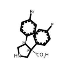 O=C(O)[C@]1(c2ccc(F)cc2)CNC[C@H]1c1ccc(Br)cc1